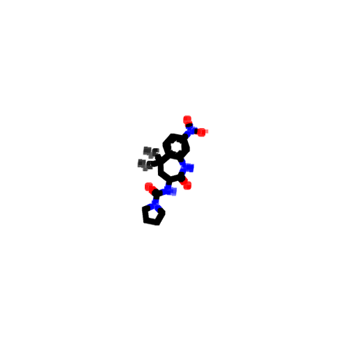 CC1(C)CC(NC(=O)N2CCCC2)C(=O)Nc2cc([N+](=O)[O-])ccc21